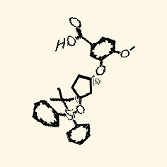 COc1ccc(C(=O)O)cc1O[C@H]1CC[C@H](O[Si](c2ccccc2)(c2ccccc2)C(C)(C)C)C1